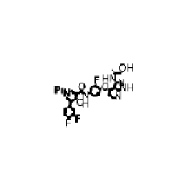 CC(C)n1cc(C(=O)Nc2ccc(Oc3ccnc4[nH]nc(N[C@H](C)CO)c34)c(F)c2)c(=O)c(-c2ccc(F)c(F)c2)c1